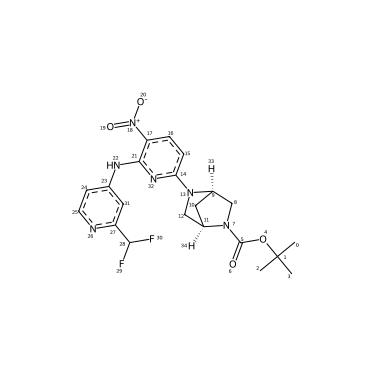 CC(C)(C)OC(=O)N1C[C@H]2C[C@@H]1CN2c1ccc([N+](=O)[O-])c(Nc2ccnc(C(F)F)c2)n1